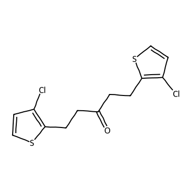 O=C(CCc1sccc1Cl)CCc1sccc1Cl